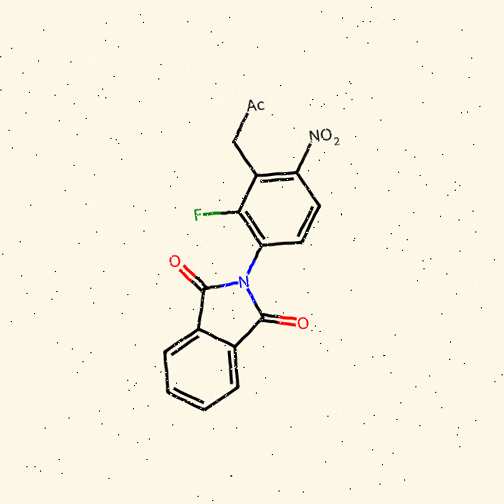 CC(=O)Cc1c([N+](=O)[O-])ccc(N2C(=O)c3ccccc3C2=O)c1F